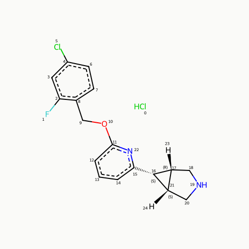 Cl.Fc1cc(Cl)ccc1COc1cccc([C@@H]2[C@@H]3CNC[C@@H]32)n1